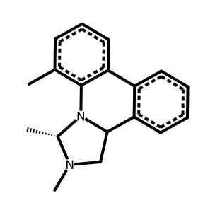 Cc1cccc2c1N1C(CN(C)[C@@H]1C)c1ccccc1-2